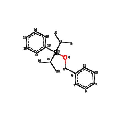 CC(C)[Si](OCc1ccccc1)(c1ccccc1)C(C)C